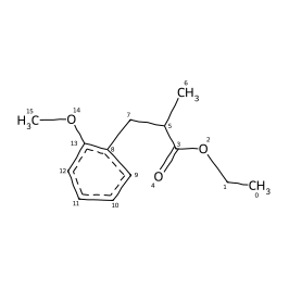 CCOC(=O)C(C)Cc1ccccc1OC